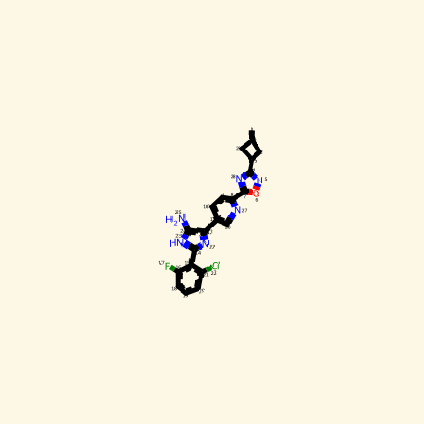 C=C1CC(c2noc(-c3ccc(-c4nc(-c5c(F)cccc5Cl)[nH]c4N)cn3)n2)C1